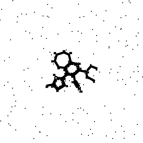 CCN(CC)c1nc2c(c(-c3ccc(C)o3)c1C#N)CCCCC2